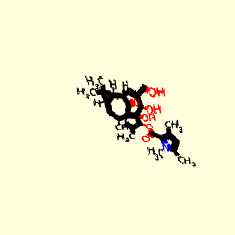 CC1=C[C@]23C(=O)[C@@H](C=C(CO)[C@@H](O)[C@]2(O)[C@H]1OC(=O)c1c(C)cc(C)n1C)[C@H]1[C@@H](C[C@H]3C)C1(C)C